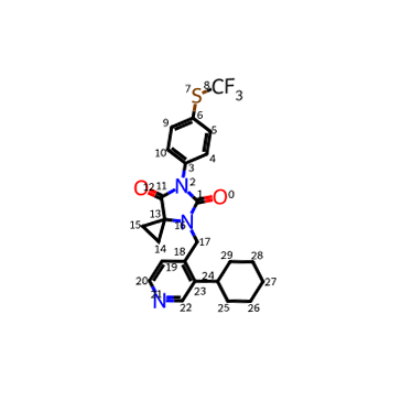 O=C1N(c2ccc(SC(F)(F)F)cc2)C(=O)C2(CC2)N1Cc1ccncc1C1CCCCC1